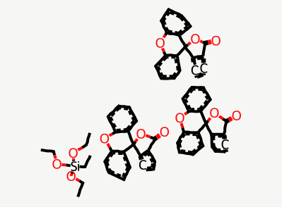 CCO[Si](CC)(OCC)OCC.O=C1OC2(c3ccccc3Oc3ccccc32)c2ccccc21.O=C1OC2(c3ccccc3Oc3ccccc32)c2ccccc21.O=C1OC2(c3ccccc3Oc3ccccc32)c2ccccc21